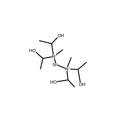 CC(O)[N+](C)([Sn][N+](C)(C(C)O)C(C)O)C(C)O